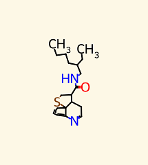 CCCCC(CC)CNC(=O)C1CSC23CC=CC=C2N=CCC13